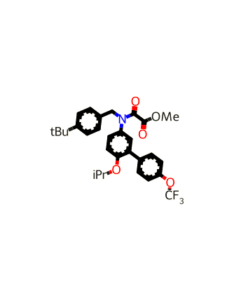 COC(=O)C(=O)N(Cc1ccc(C(C)(C)C)cc1)c1ccc(OC(C)C)c(-c2ccc(OC(F)(F)F)cc2)c1